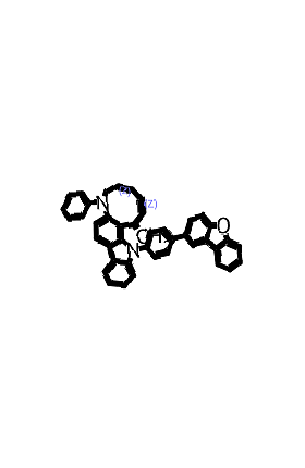 C=C1/C=C\C=C/CN(c2ccccc2)c2ccc3c4ccccc4n(-c4ccc(-c5ccc6oc7ccccc7c6c5)cc4)c3c21